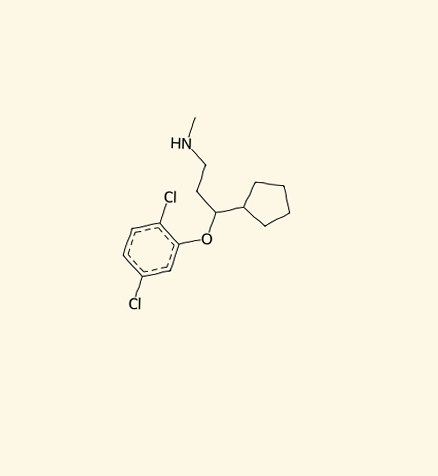 CNCCC(Oc1cc(Cl)ccc1Cl)C1CCCC1